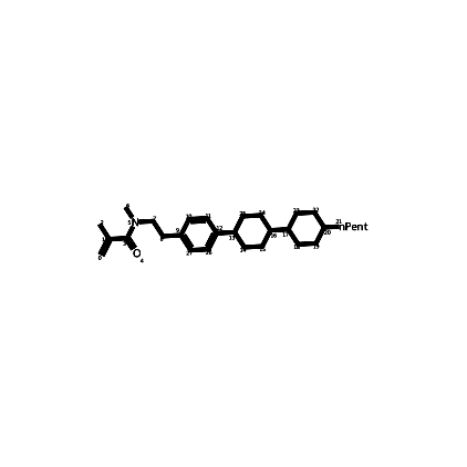 C=C(C)C(=O)N(C)CCc1ccc(C2CCC(C3CCC(CCCCC)CC3)CC2)cc1